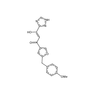 COc1ccc(Cc2cc(C(=O)C=C(O)c3nc[nH]n3)co2)cc1